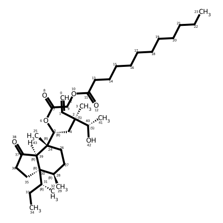 C=C[C@](C)(C[C@@H](OC(=O)COC(=O)CCCCCCCCCCC)[C@]1(C)CC[C@@H](C)[C@]2([C@H](C)CC)CCC(=O)[C@@H]12)[C@H](C)O